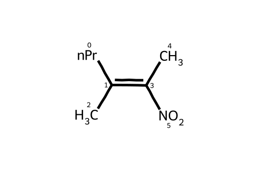 CCCC(C)=C(C)[N+](=O)[O-]